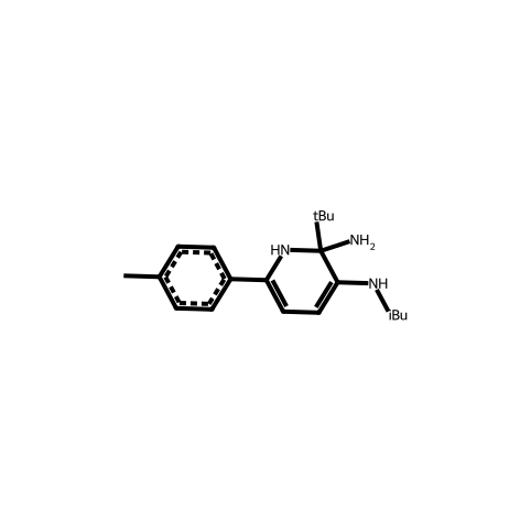 CCC(C)NC1=CC=C(c2ccc(C)cc2)NC1(N)C(C)(C)C